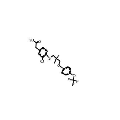 CC(C)(COc1ccc(OC(F)(F)F)cc1)CSc1ccc(CC(=O)O)cc1Cl